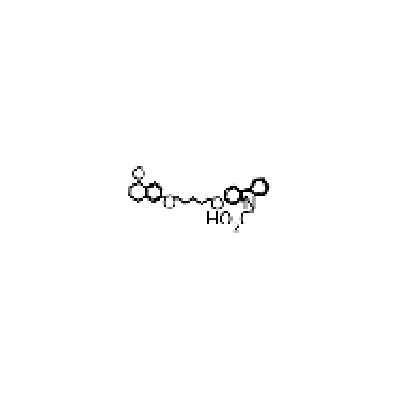 O=C(O)Cn1c2ccccc2c2ccc(OCCCCCOc3ccc4c(c3)CCCC4=O)cc21